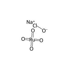 [Na+].[O-]Cl.[O]=[Ru](=[O])(=[O])=[O]